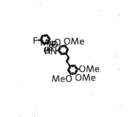 COc1cc(C=Cc2cc(OC)c(OC)c(OC)c2)cc(NS(=O)(=O)c2cccc(F)c2)c1OC